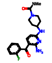 CNC(=O)N1CCC(Nc2ccc(C(=O)c3ccccc3F)c(N)n2)CC1